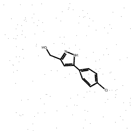 OCc1cc(-c2ccc(Cl)cc2)[nH]n1